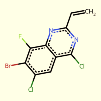 C=Cc1nc(Cl)c2cc(Cl)c(Br)c(F)c2n1